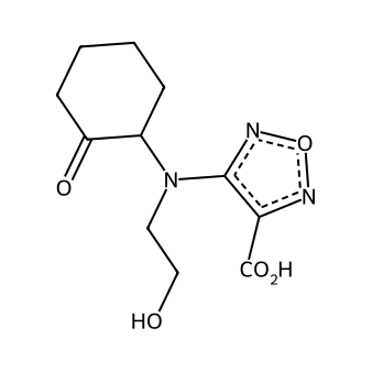 O=C(O)c1nonc1N(CCO)C1CCCCC1=O